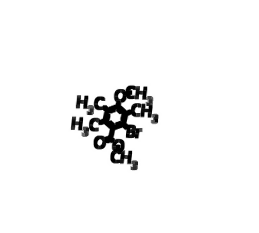 COC(=O)c1c(C)c(C)c(OC)c(C)c1Br